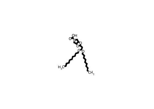 CCCCCCCCCCOC(CC1OC2CN(C(=O)O)CC2O1)OCCCCCCCCCC